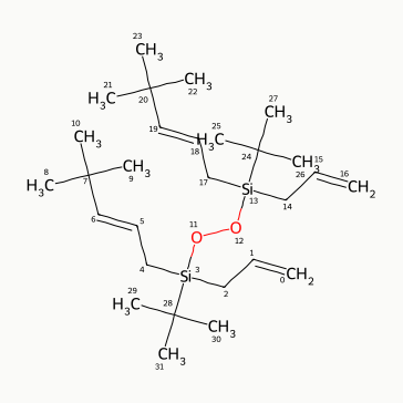 C=CC[Si](CC=CC(C)(C)C)(OO[Si](CC=C)(CC=CC(C)(C)C)C(C)(C)C)C(C)(C)C